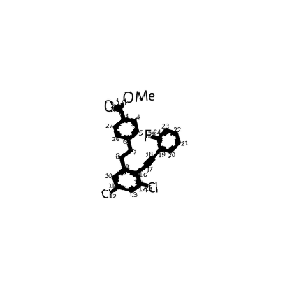 COC(=O)c1ccc(CCc2cc(Cl)cc(Cl)c2C#Cc2ccccc2F)cc1